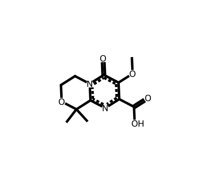 COc1c(C(=O)O)nc2n(c1=O)CCOC2(C)C